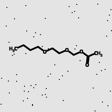 CCCCOCCOCOC(C)=O